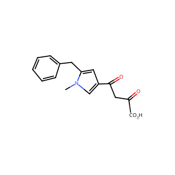 Cn1cc(C(=O)CC(=O)C(=O)O)cc1Cc1ccccc1